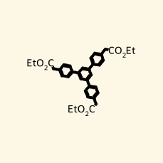 CCOC(=O)Cc1ccc(-c2cc(-c3ccc(CC(=O)OCC)cc3)cc(-c3ccc(CC(=O)OCC)cc3)c2)cc1